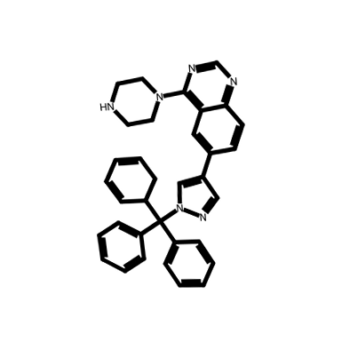 C1=CCC(C(c2ccccc2)(c2ccccc2)n2cc(-c3ccc4ncnc(N5CCNCC5)c4c3)cn2)C=C1